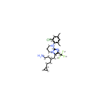 Cc1cc(C)c(N2CCCn3c2nc(C(F)(F)F)c3CC(CCN)CCC2CC2)c(Cl)c1